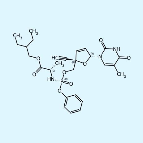 C#C[C@@]1(CO[P@](=O)(N[C@@H](C)C(=O)OCC(CC)CC)Oc2ccccc2)C=C[C@H](n2cc(C)c(=O)[nH]c2=O)O1